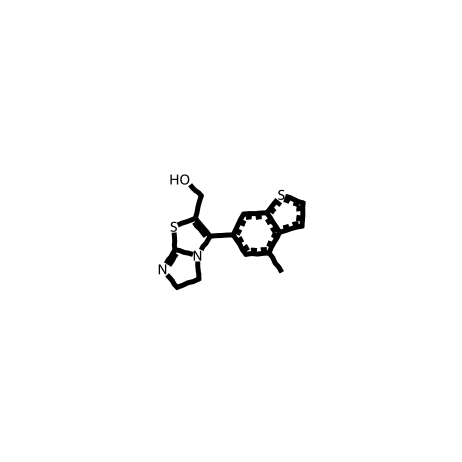 Cc1cc(C2=C(CO)SC3=NCCN32)cc2sccc12